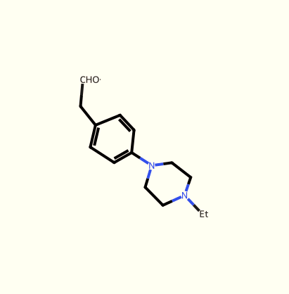 CCN1CCN(c2ccc(C[C]=O)cc2)CC1